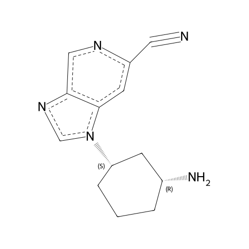 N#Cc1cc2c(cn1)ncn2[C@H]1CCC[C@@H](N)C1